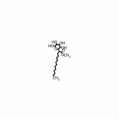 CCCCCCCCCCCCC(C(=O)OC)[C@H]1OC(O)[C@H](O)[C@@H](O)[C@@H]1O